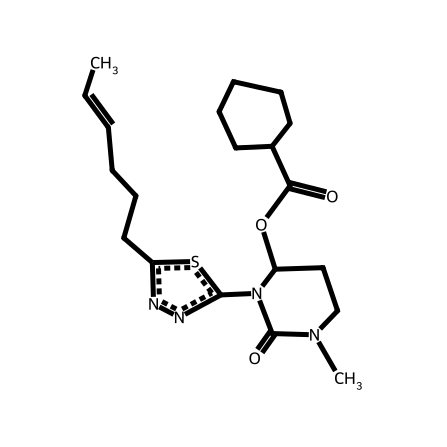 CC=CCCCc1nnc(N2C(=O)N(C)CCC2OC(=O)C2CCCCC2)s1